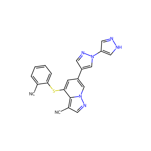 N#Cc1ccccc1Sc1cc(-c2cnn(-c3cn[nH]c3)c2)cn2ncc(C#N)c12